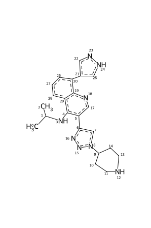 CC(C)Nc1c(-c2cn(C3CCNCC3)nn2)cnc2c(-c3cn[nH]c3)cccc12